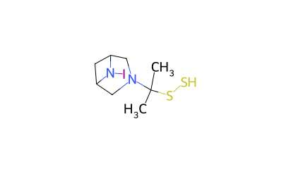 CC(C)(SS)N1CC2CC(C1)N2I